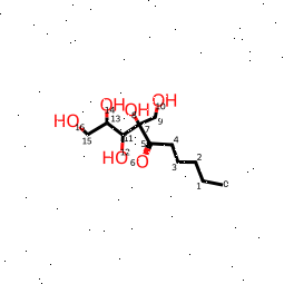 CCCCCC(=O)C(O)(CO)C(O)C(O)CO